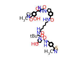 Cc1ncsc1-c1ccc(CNC(=O)[C@@H]2C[C@@H](O)CN2C(=O)C(NC(=O)CCCCCCNC(=O)c2ccc3c(c2)[C@H](NC(=O)c2cc(-c4ccc(C(=O)N(C)C)c(O)c4)on2)CC3)C(C)(C)C)cc1